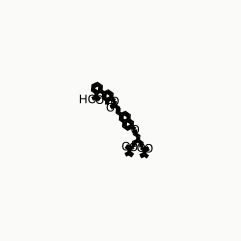 C=C(C)C(=O)OCC(CCOc1ccc2cc(/C=C/C(=O)Oc3ccc(-c4ccccc4C(=O)O)cc3C)ccc2c1)COC(=O)C(=C)C